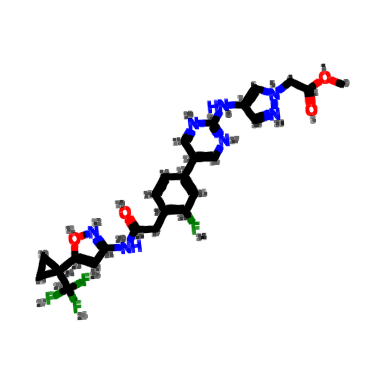 COC(=O)Cn1cc(Nc2ncc(-c3ccc(CC(=O)Nc4cc(C5(C(F)(F)F)CC5)on4)c(F)c3)cn2)cn1